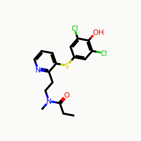 CCC(=O)N(C)CCc1ncccc1Sc1cc(Cl)c(O)c(Cl)c1